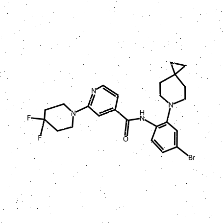 O=C(Nc1ccc(Br)cc1N1CCC2(CC1)CC2)c1ccnc(N2CCC(F)(F)CC2)c1